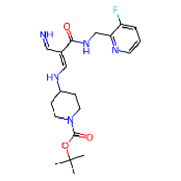 CC(C)(C)OC(=O)N1CCC(N/C=C(\C=N)C(=O)NCc2ncccc2F)CC1